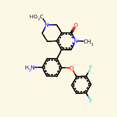 Cn1cc(-c2cc(N)ccc2Oc2ccc(F)cc2F)c2c(c1=O)CN(C(=O)O)CC2